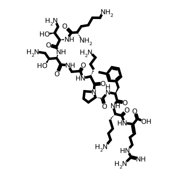 Cc1cccc(C[C@H](NC(=O)[C@@H]2CCCN2C(=O)[C@@H](CCCN)NC(=O)CNC(=O)[C@@H](NC(=O)[C@@H](NC(=O)[C@@H](N)CCCCN)[C@@H](O)CN)[C@@H](O)CN)C(=O)N[C@@H](CCCCN)C(=O)N/C(=C\CCNC(=N)N)C(=O)O)c1